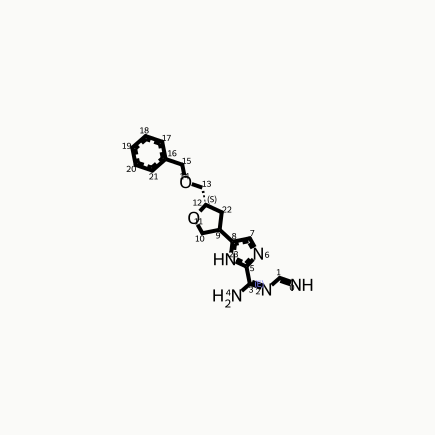 N=C/N=C(/N)c1ncc(C2CO[C@H](COCc3ccccc3)C2)[nH]1